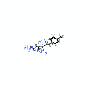 C=Cc1ccc(CC(N)CCC(N)CCN)cc1